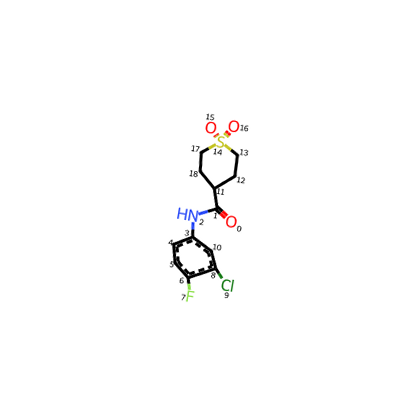 O=C(Nc1ccc(F)c(Cl)c1)C1CCS(=O)(=O)CC1